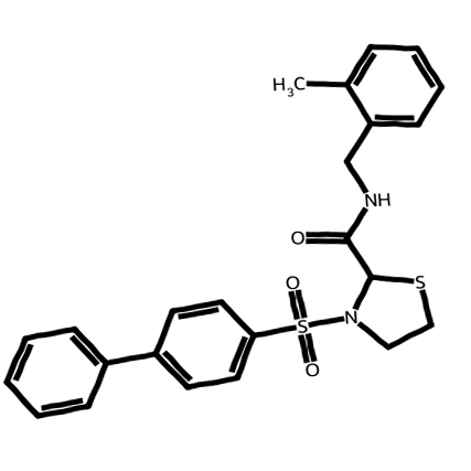 Cc1ccccc1CNC(=O)C1SCCN1S(=O)(=O)c1ccc(-c2ccccc2)cc1